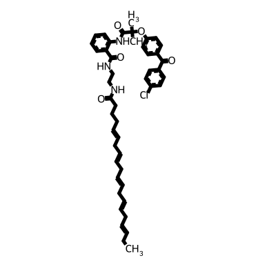 CCC=CCC=CCC=CCC=CCC=CCCCC(=O)NCCNC(=O)c1ccccc1NC(=O)C(C)(C)Oc1ccc(C(=O)c2ccc(Cl)cc2)cc1